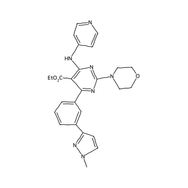 CCOC(=O)c1c(Nc2ccncc2)nc(N2CCOCC2)nc1-c1cccc(-c2ccn(C)n2)c1